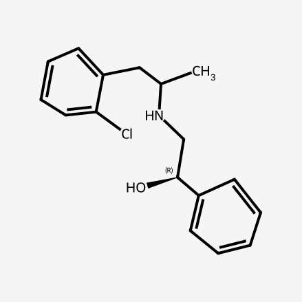 CC(Cc1ccccc1Cl)NC[C@H](O)c1ccccc1